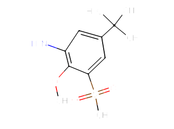 COc1c(N)cc(C(C)(C)C)cc1S(C)(=O)=O